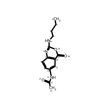 CCCCNc1nc2ccc(NC(C)=O)cc2c(=O)o1